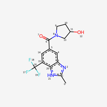 Cc1nc2cc(C(=O)N3CCC(O)C3)cc(C(F)(F)F)c2[nH]1